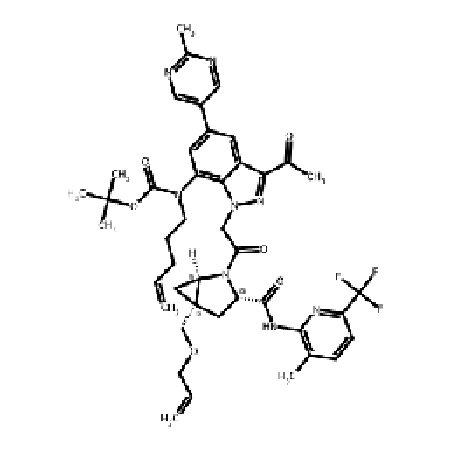 C=CCCCN(C(=O)OC(C)(C)C)c1cc(-c2cnc(C)nc2)cc2c(C(C)=O)nn(CC(=O)N3[C@H](C(=O)Nc4nc(C(F)(F)F)ccc4C)C[C@@]4(COCC=C)C[C@@H]34)c12